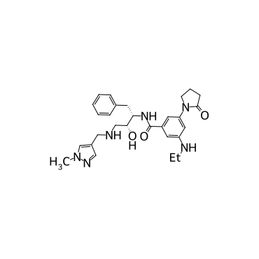 CCNc1cc(C(=O)N[C@@H](Cc2ccccc2)[C@H](O)CNCc2cnn(C)c2)cc(N2CCCC2=O)c1